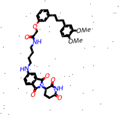 COc1ccc(CCCc2cccc(OCC(=O)NCCCCNc3ccc4c(c3)C(=O)N(C3CCC(=O)NC3=O)C4=O)c2)cc1OC